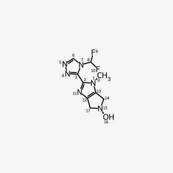 Cn1c(-c2nncn2C(F)F)nc2c1CN(O)C2